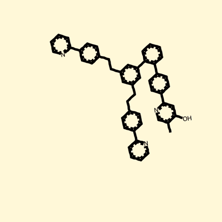 Cc1cnc(-c2ccc(-c3ccccc3-c3cc(CCc4ccc(-c5ccccn5)cc4)cc(CCc4ccc(-c5ccccn5)cc4)c3)cc2)cc1O